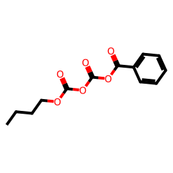 CCCCOC(=O)OC(=O)OC(=O)c1ccccc1